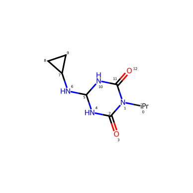 CC(C)N1C(=O)NC(NC2CC2)NC1=O